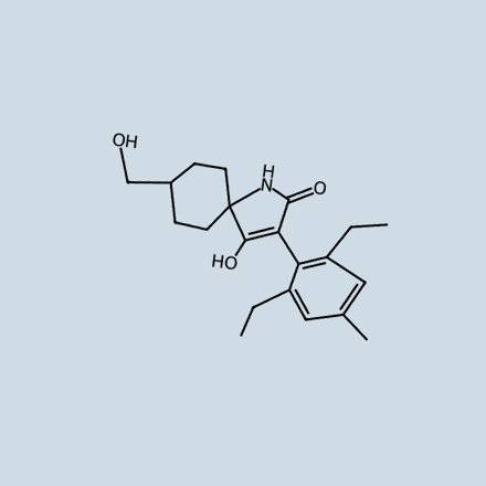 CCc1cc(C)cc(CC)c1C1=C(O)C2(CCC(CO)CC2)NC1=O